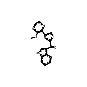 COc1nccnc1-c1csc(C(=O)c2c[nH]c3ccccc23)n1